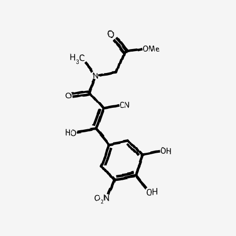 COC(=O)CN(C)C(=O)/C(C#N)=C(\O)c1cc(O)c(O)c([N+](=O)[O-])c1